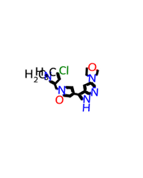 C=N/C=C(\C=C(/C)Cl)Cn1ccc(-c2c[nH]c3ncc(N4CCOCC4)cc23)cc1=O